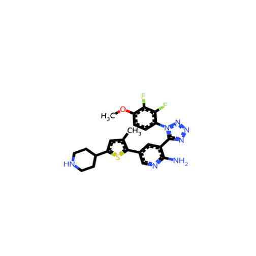 COc1ccc(-n2nnnc2-c2cc(-c3sc(C4CCNCC4)cc3C)cnc2N)c(F)c1F